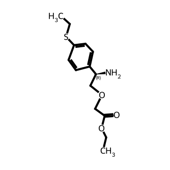 CCOC(=O)COC[C@H](N)c1ccc(SCC)cc1